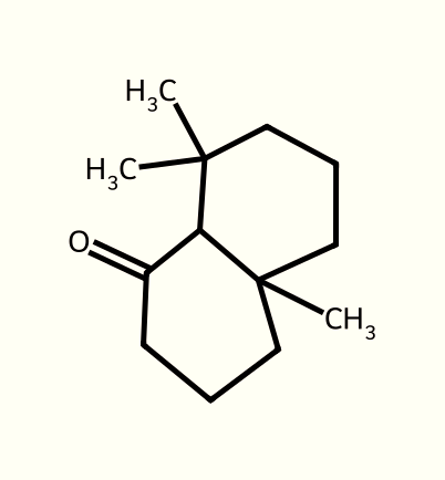 CC1(C)CCCC2(C)CCCC(=O)C12